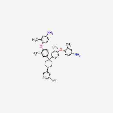 CCCc1cccc(C2CCC(c3ccc(Oc4ccc(N)cc4C)c(C)c3)(c3ccc(Oc4ccc(N)cc4C)c(C)c3)CC2)c1